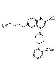 COc1ccccc1C1CCN(c2nc(C3CC3)nc3ccc(CCCCN)cc23)CC1